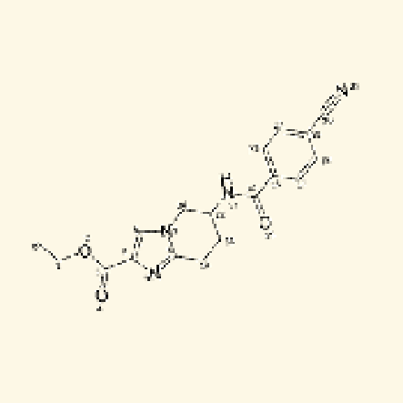 CCOC(=O)c1cn2c(n1)CCC(NC(=O)c1ccc(C#N)cc1)C2